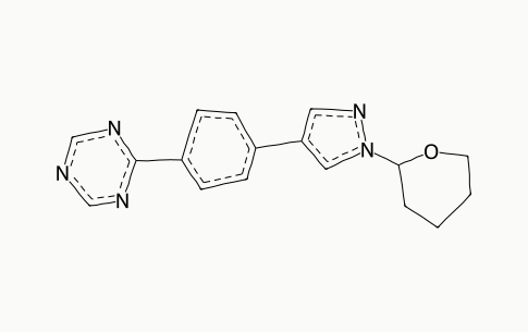 c1ncnc(-c2ccc(-c3cnn(C4CCCCO4)c3)cc2)n1